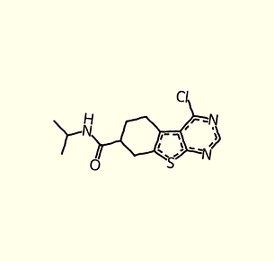 CC(C)NC(=O)C1CCc2c(sc3ncnc(Cl)c23)C1